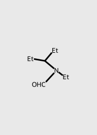 CCC(CC)N(C=O)CC